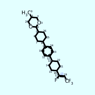 CC1COC(C2CCC(c3ccc(C4CCC(/C(F)=C/C(F)(F)F)CC4)cc3)CC2)OC1